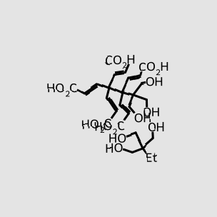 CCC(CO)(CO)CO.O=C(O)C=CC(C=CC(=O)O)(C=CC(=O)O)C(C=CC(=O)O)(C=CC(=O)O)C(CO)(CO)CO